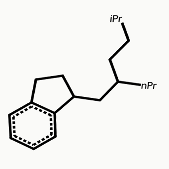 CCCC(CCC(C)C)CC1CCc2ccccc21